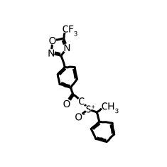 CC(c1ccccc1)[S+]([O-])CC(=O)c1ccc(-c2noc(C(F)(F)F)n2)cc1